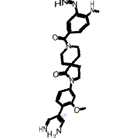 CNc1ccc(C(=O)N2CCC3(CC2)CCN(c2ccc(/C(C=N)=C/N)c(OC)c2)C3=O)cc1N=N